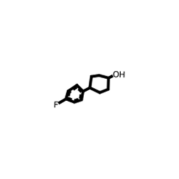 OC1CCC(c2ccc(F)cc2)CC1